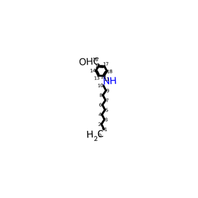 C=CCCCCCCCCCNc1ccc(C=O)cc1